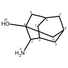 NC1C2CC3CC(C2)CC1(O)C3